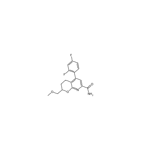 COCC1CCc2c(-c3ccc(F)cc3F)cc(C(N)=O)nc2O1